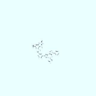 COc1c(NC(=O)c2ccc(C)c(-n3cc(-c4cnn(-c5ccccc5)c4CCNC(=O)O)nn3)c2)cc(C(C)(C)C)cc1NS(C)(=O)=O